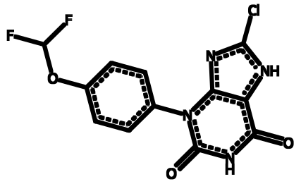 O=c1[nH]c(=O)n(-c2ccc(OC(F)F)cc2)c2nc(Cl)[nH]c12